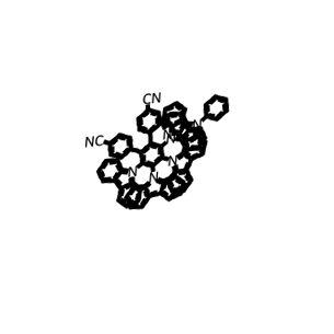 N#Cc1ccc(-c2c(-c3ccc(C#N)cc3)c(-n3c4ccccc4c4ccccc43)c(-n3c4ccccc4c4ccc5c(c6ncccc6n5-c5ccccc5)c43)c(-n3c4ccccc4c4ccccc43)c2-n2c3ccccc3c3ccccc32)cc1